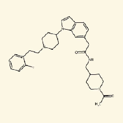 CC(=O)N1CCC(CNC(=O)Cc2ccc3ccn(C4CCN(CCc5ccccc5F)CC4)c3c2)CC1